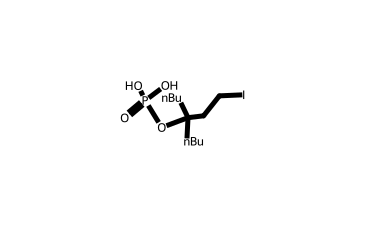 CCCCC(CCI)(CCCC)OP(=O)(O)O